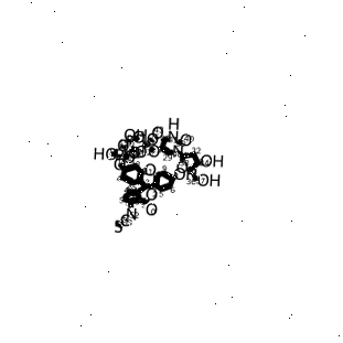 O=C1OC2(c3ccc(O)cc3Oc3cc(OP(=O)(O)OP(=O)(O)OP(=O)(O)Oc4cn([C@H]5C[C@H](O)[C@@H](CO)O5)c(=O)[nH]c4=O)ccc32)c2cccc(N=C=S)c21